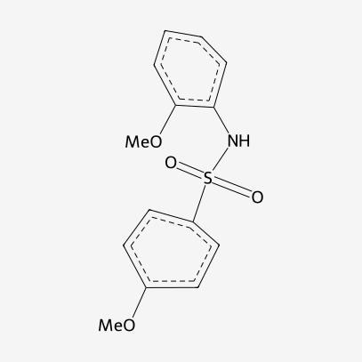 COc1ccc(S(=O)(=O)Nc2ccccc2OC)cc1